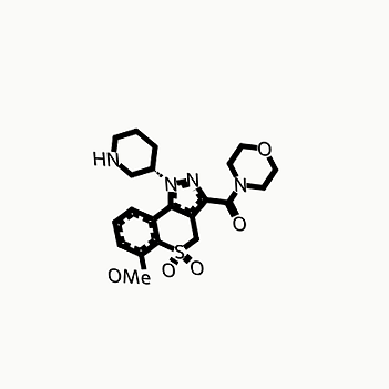 COc1cccc2c1S(=O)(=O)Cc1c(C(=O)N3CCOCC3)nn([C@H]3CCCNC3)c1-2